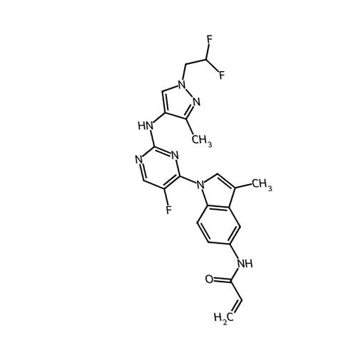 C=CC(=O)Nc1ccc2c(c1)c(C)cn2-c1nc(Nc2cn(CC(F)F)nc2C)ncc1F